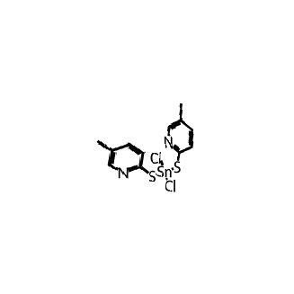 Cc1ccc([S][Sn]([Cl])([Cl])[S]c2ccc(C)cn2)nc1